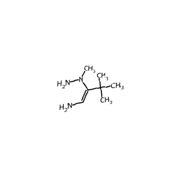 CN(N)/C(=C\N)C(C)(C)C